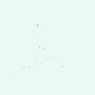 SCSc1cc(SCS)cc(SCS)c1